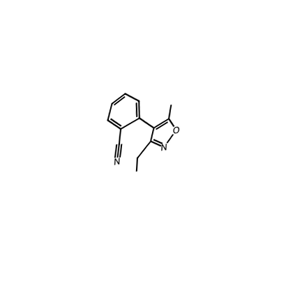 CCc1noc(C)c1-c1ccccc1C#N